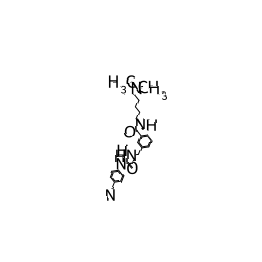 CN(C)CCCCCNC(=O)c1cccc(CNC(=O)Nc2ccc(C#N)cc2)c1